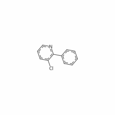 Clc1cccnc1-c1ccccc1